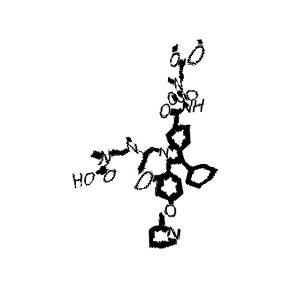 COC(CN(C)S(=O)(=O)NC(=O)c1ccc2c(C3CCCCC3)c3n(c2c1)C[C@@H](N(C)CCN(C)C(=O)O)COc1cc(OCc2ccccn2)ccc1-3)OC